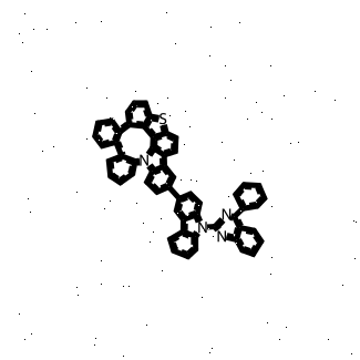 c1ccc(-c2nc(-n3c4ccccc4c4cc(-c5ccc6c(c5)c5ccc7sc8cccc9c%10ccccc%10c%10ccccc%10n6c5c7c89)ccc43)nc3ccccc23)cc1